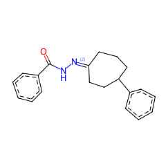 O=C(N/N=C1/CCCC(c2ccccc2)CC1)c1ccccc1